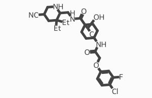 CCC1(CC)CC(C#N)CNC1CNC(=O)C12CCC(NC(=O)COc3ccc(Cl)c(F)c3)(CC1)CC2O